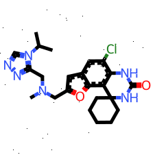 CC(C)n1cnnc1CN(C)Cc1cc2cc(Cl)c3c(c2o1)C1(CCCCC1)NC(=O)N3